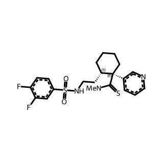 CNC(=S)[C@]1(c2cccnc2)CCCC[C@H]1CCNS(=O)(=O)c1ccc(F)c(F)c1